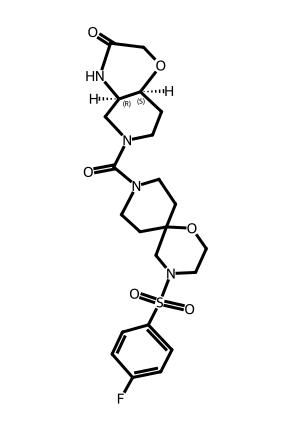 O=C1CO[C@H]2CCN(C(=O)N3CCC4(CC3)CN(S(=O)(=O)c3ccc(F)cc3)CCO4)C[C@H]2N1